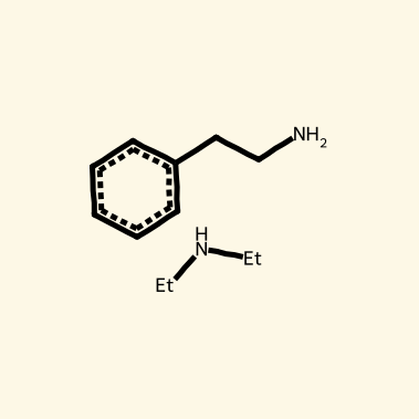 CCNCC.NCCc1ccccc1